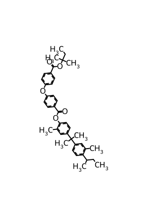 CCC(C)c1ccc(C(C)(C)c2ccc(OC(=O)c3ccc(Oc4ccc(C(=O)OC(C)(C)CC)cc4)cc3)c(C)c2)cc1C